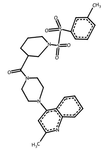 Cc1cccc(S(=O)(=O)S(=O)(=O)N2CCCC(C(=O)N3CCN(c4cc(C)nc5ccccc45)CC3)C2)c1